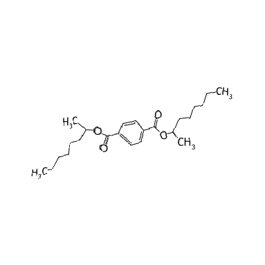 CCCCCCC(C)OC(=O)c1ccc(C(=O)OC(C)CCCCCC)cc1